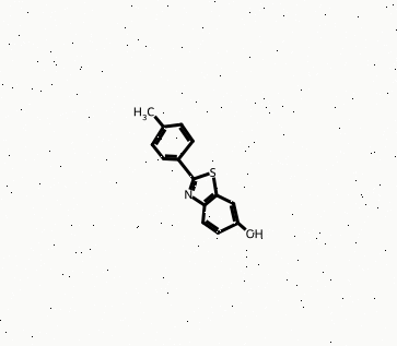 Cc1ccc(-c2nc3ccc(O)cc3s2)cc1